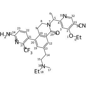 CCOc1cc(C(C)N2CCc3c(cc(CCN(C)CC)cc3-c3ccc(N)nc3C(F)(F)F)C2=O)ncc1C#N